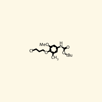 COc1cc(NC(=O)OC(C)(C)C)cc(C)c1OCCCCl